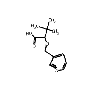 CC(C)(C)C(OCc1cccnc1)C(=O)O